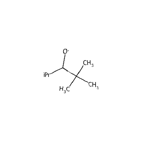 CC(C)C([O])C(C)(C)C